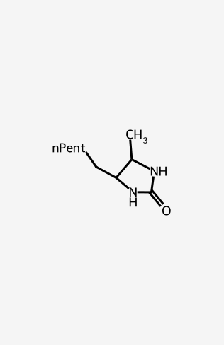 CCCCCCC1NC(=O)NC1C